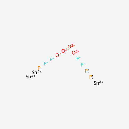 [F-].[F-].[F-].[F-].[O-2].[O-2].[O-2].[O-2].[P].[P].[P].[Sn+4].[Sn+4].[Sn+4]